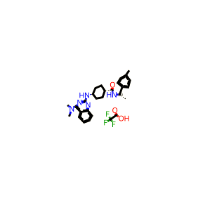 Cc1ccc([C@H](C)NC(=O)[C@H]2CC[C@@H](Nc3nc(N(C)C)c4ccccc4n3)CC2)cc1.O=C(O)C(F)(F)F